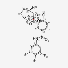 O=C(Nc1cc(F)c(F)c(F)c1)c1ccc(Cl)c(S(=O)(=O)N2C3CC[C@@H]2C[C@H](O)C3)c1